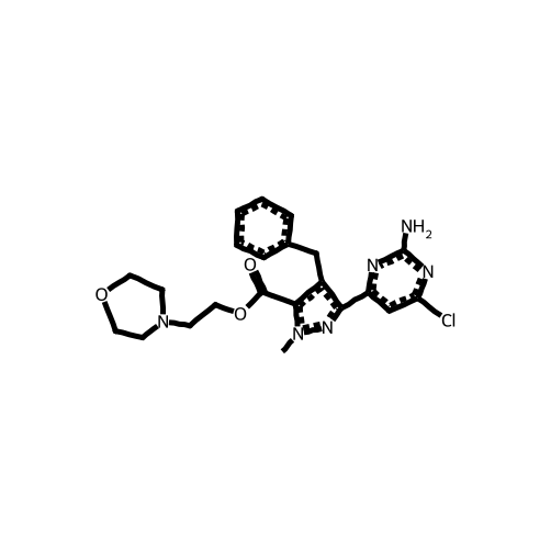 Cn1nc(-c2cc(Cl)nc(N)n2)c(Cc2ccccc2)c1C(=O)OCCN1CCOCC1